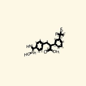 N=C(NO)c1ccc(CC(C(=O)O)c2cccc(C(F)(F)F)c2)cc1